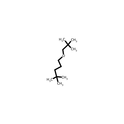 CC(C)(C)CCCOCC(C)(C)C